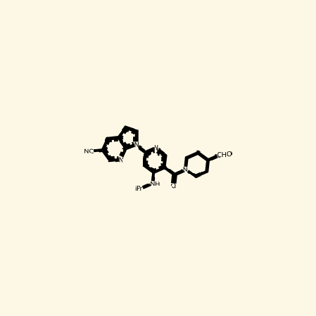 CC(C)Nc1cc(-n2ccc3cc(C#N)cnc32)ncc1C(=O)N1CCC(C=O)CC1